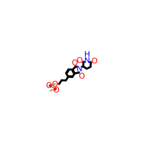 CS(=O)(=O)OCCCc1ccc2c(c1)C(=O)N(C1CCC(=O)NC1=O)C2=O